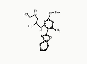 CCCCCCNc1nc(C)c(-c2nc3ccccc3s2)c(NC(C)C[C@@H](CC)CO)n1